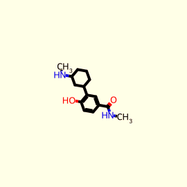 CNC(=O)c1ccc(O)c(C2CCCC(NC)C2)c1